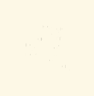 C=CC(=O)OC(CC(O)(C(F)(F)F)C(F)(F)F)CC(O)(C(F)(F)F)C(F)(F)F